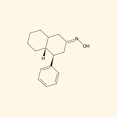 ON=C1CC2CCCC[C@H]2[C@H](c2ccccc2)C1